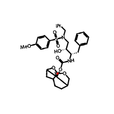 COc1ccc(S(=O)(=O)N(CC(C)C)C[C@@H](O)[C@H](Cc2ccccc2)NC(=O)O[C@H]2C3CCC4CC2OC4OC3)cc1